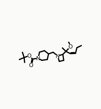 CC/C=C\C(C)(OC)C1CCN1CC1CCN(C(=O)OC(C)(C)C)CC1